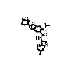 Cc1cnc2c(NC(=O)c3cc4cn(C56CCC(C)(C5)OC6)nc4cc3OC(C)C)cnn2c1